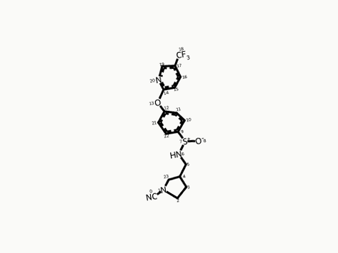 N#CN1CCC(CN[S+]([O-])c2ccc(Oc3ccc(C(F)(F)F)cn3)cc2)C1